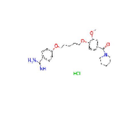 COc1cc(C(=O)N2CCCCC2)ccc1OCCCCCOc1ccc(C(=N)N)cc1.Cl